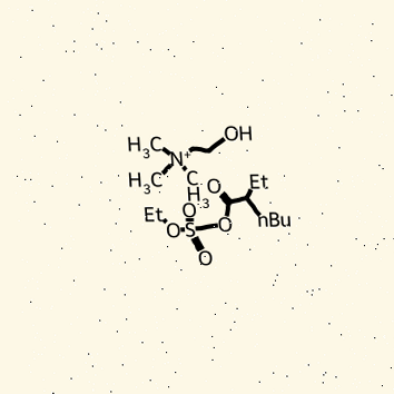 CCCCC(CC)C(=O)OS(=O)(=O)OCC.C[N+](C)(C)CCO